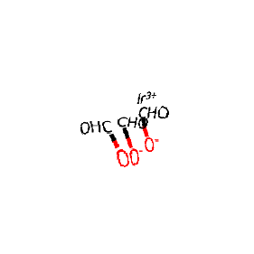 O=C[O-].O=C[O-].O=C[O-].[Ir+3]